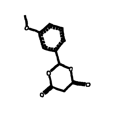 COc1cccc(C2OC(=O)CC(=O)O2)c1